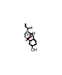 C=CC(I)N1CC[C@]23CCCC[C@H]2[C@H]1Cc1ccc(O)cc13